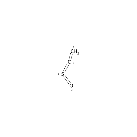 C=C=S=O